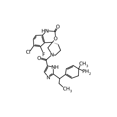 CCC(C1=CCC(C)(P)C=C1)c1ncc(C(=O)N2CCC[C@@]3(C2)OC(=O)Nc2ccc(Cl)c(F)c23)[nH]1